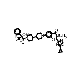 CN(Cc1noc(C2CC2)n1)C(=O)c1ccc(N2CCC(C3CCN(C(=O)C(O)(c4ccccc4)C(F)(F)F)CC3)CC2)cc1Cl